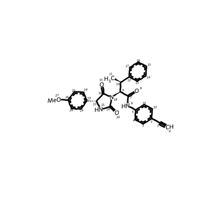 C#Cc1ccc(NC(=O)[C@H]([C@@H](C)c2ccccc2)N2C(=O)N[C@H](c3ccc(OC)cc3)C2=O)cc1